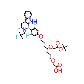 C[C@@H]1Cc2c([nH]c3ccccc23)[C@@H](c2c(F)cc(OCCCC(CCCOCC(=O)O)OCC(=O)OC(C)(C)C)cc2F)N1CC(C)(C)F